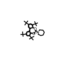 CC(C)(C)c1cc(C(C)(C)C)c2op(N3CCCCCC3)oc3c(C(C)(C)C)cc(C(C)(C)C)cc3c2c1